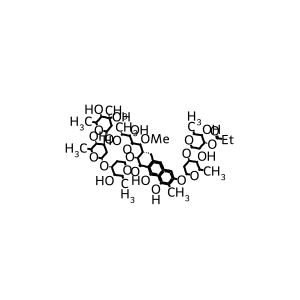 CCC(=O)O[C@@H]1C[C@H](O[C@@H]2C[C@H](Oc3cc4cc5c(c(O)c4c(O)c3C)C(=O)[C@@H](O[C@H]3C[C@@H](O[C@H]4C[C@@H](O[C@H]6C[C@](C)(O)[C@H](O)C(C)O6)[C@@H](O)C(C)O4)[C@H](O)C(C)O3)[C@H]([C@H](OC)C(=O)[C@@H](O)[C@@H](C)O)C5)OC(C)[C@H]2O)OC(C)[C@H]1O